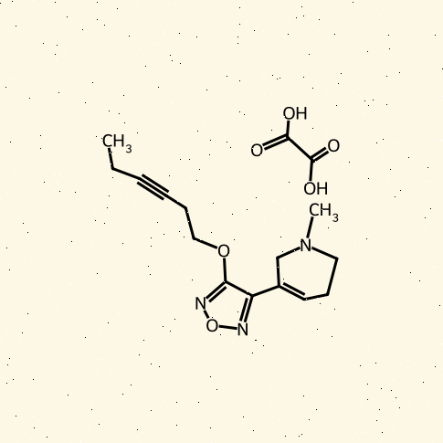 CCC#CCCOc1nonc1C1=CCCN(C)C1.O=C(O)C(=O)O